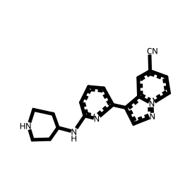 N#Cc1ccn2ncc(-c3cccc(NC4CCNCC4)n3)c2c1